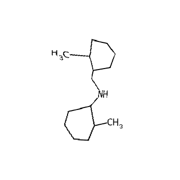 CC1CCCCC1CNC1CCCCC1C